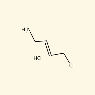 Cl.NCC=CCCl